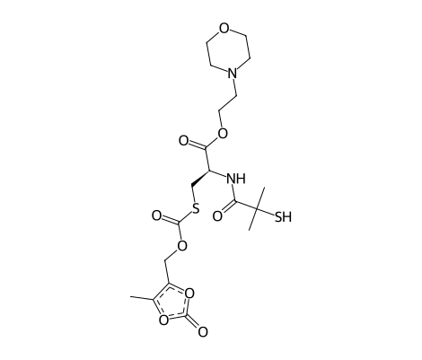 Cc1oc(=O)oc1COC(=O)SC[C@H](NC(=O)C(C)(C)S)C(=O)OCCN1CCOCC1